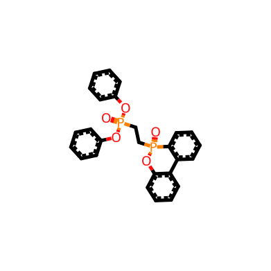 O=P(CCP1(=O)Oc2ccccc2-c2ccccc21)(Oc1ccccc1)Oc1ccccc1